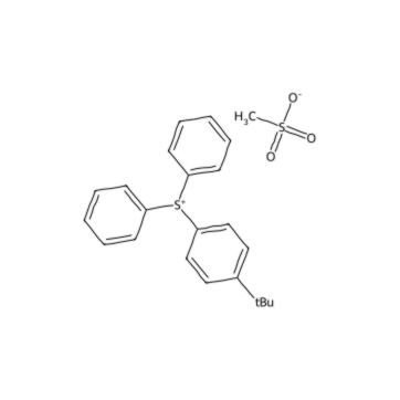 CC(C)(C)c1ccc([S+](c2ccccc2)c2ccccc2)cc1.CS(=O)(=O)[O-]